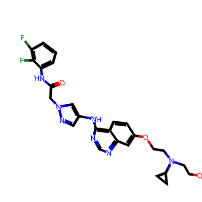 O=C(Cn1cc(Nc2ncnc3cc(OCCN(CCO)C4CC4)ccc23)cn1)Nc1cccc(F)c1F